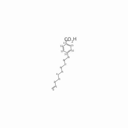 C=CCCCCCCCCc1ccc(C(=O)O)cc1